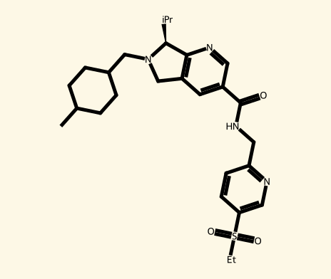 CCS(=O)(=O)c1ccc(CNC(=O)c2cnc3c(c2)CN(CC2CCC(C)CC2)[C@H]3C(C)C)nc1